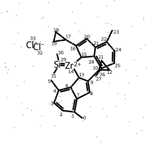 Cc1ccc(C)c2c1C=C(C1CC1)[CH]2[Zr+2]([CH]1C(C2CC2)=Cc2c(C)ccc(C)c21)=[Si](C)C.[Cl-].[Cl-]